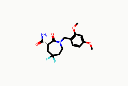 COc1ccc(CN2CCC(F)(F)C[C@H](C(N)=O)C2=O)c(OC)c1